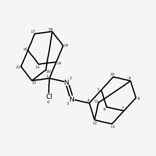 ClC1(N=NC2C3CC4CC(C3)CC2C4)C2CC3CC(C2)CC1C3